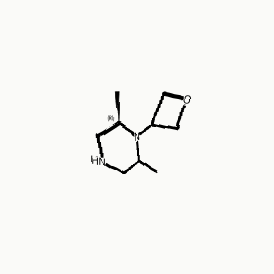 CC1CNC[C@@H](C)N1C1COC1